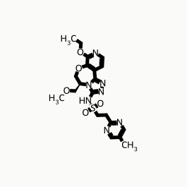 CCOc1nccc2c1OC[C@H](COC)n1c(NS(=O)(=O)CCc3ncc(C)cn3)nnc1-2